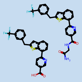 NC(=O)CNC(=O)c1ccc(-c2cccc3cc(Cc4cccc(C(F)(F)F)c4)sc23)nc1.O=C(O)c1ccc(-c2cccc3cc(Cc4cccc(C(F)(F)F)c4)sc23)nc1